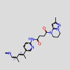 C=N/C=C(C)\C=C(/C)c1ccc(NC(=O)CCC(=O)N2CCCn3nc(C)cc32)nc1